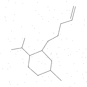 C=CCCCC1CC(C)CCC1C(C)C